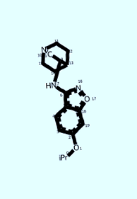 CC(C)Oc1ccc2c(NC3CN4CCC3CC4)noc2c1